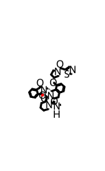 CNC(=O)N1CCCCC1C(=O)N1CCc2cccc(OC3CCN(C(=O)c4cncs4)C3)c2[C@H]1CN1C(=O)c2ccccc2C1=O